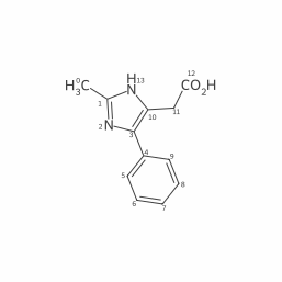 Cc1nc(-c2ccccc2)c(CC(=O)O)[nH]1